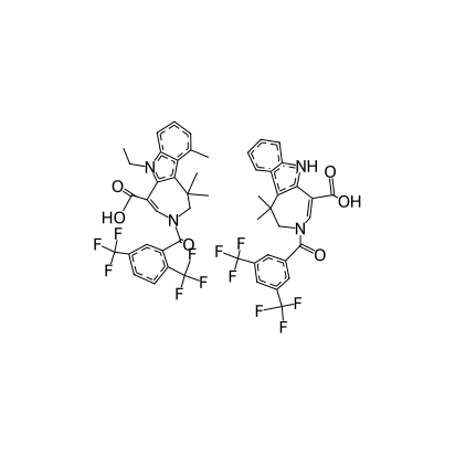 CC1(C)CN(C(=O)c2cc(C(F)(F)F)cc(C(F)(F)F)c2)C=C(C(=O)O)c2[nH]c3ccccc3c21.CCn1c2c(c3c(C)cccc31)C(C)(C)CN(C(=O)c1cc(C(F)(F)F)ccc1C(F)(F)F)C=C2C(=O)O